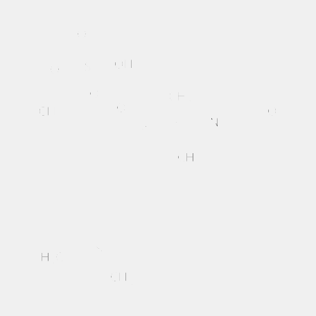 COS(=O)(=O)O.C[S+](C)c1ccc(C(=O)C(C)(C)N2CCOCC2)cc1